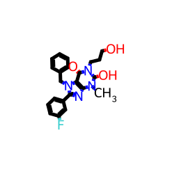 CN1c2nc(-c3cccc(F)c3)n(Cc3ccccc3)c2C(=O)N(CCCO)C1O